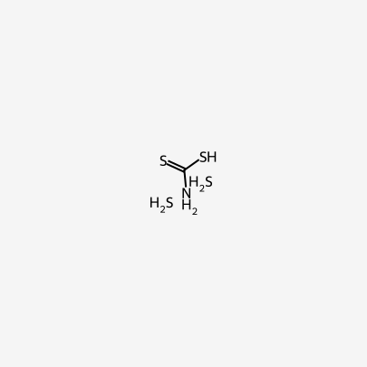 NC(=S)S.S.S